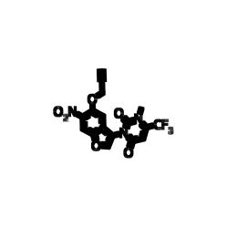 C#CCOc1cc2c(-n3c(=O)cc(C(F)(F)F)n(C)c3=O)coc2cc1[N+](=O)[O-]